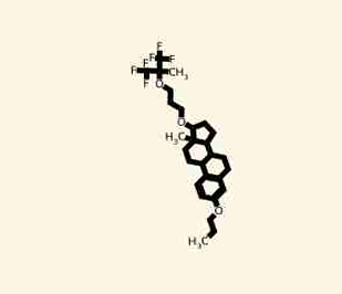 CCCOc1ccc2c(c1)CCC1C2CCC2(C)C(OCCCOC(C)(C(F)(F)F)C(F)(F)F)CCC12